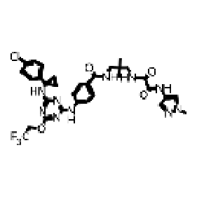 Cn1cc(NC(=O)C(=O)NCC(C)(C)CNC(=O)c2ccc(Nc3nc(NC4(c5ccc(Cl)cc5)CC4)nc(OCC(F)(F)F)n3)cc2)cn1